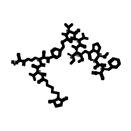 CC[C@H](C)[C@@H]([C@@H](CC(=O)C1CCCN1[C@H](OC)[C@@H](C)C(=O)N[C@@H](Cc1ccccc1)C(=O)O)OC)N(C)C(=O)[C@@H](NC(=O)[C@H](C(C)C)N(C)C(=O)OCc1ccc(NC(=O)[C@H](CCCNC(N)=O)NC(=O)[C@@H](NC(=O)CCCCCN2C(=O)C=CC2=O)C(C)C)cc1)C(C)C